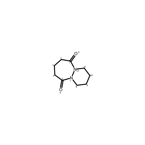 O=C1CCCC(=O)N2CCCCN12